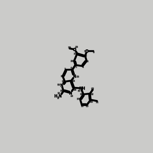 COc1ccc(-c2ccc3nc(N)nc(Nc4cccc(C)c4C)c3n2)cc1OC